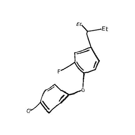 CCC(CC)c1ccc(Oc2ccc(Cl)cc2)c(F)c1